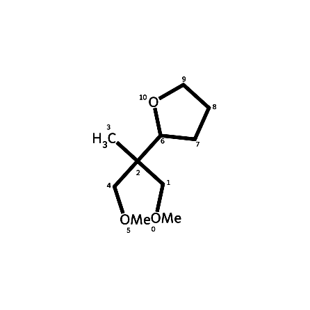 COCC(C)(COC)C1CCCO1